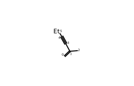 C=C(C)C#CCC